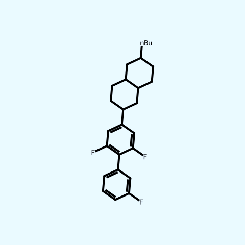 CCCCC1CCC2CC(c3cc(F)c(-c4cccc(F)c4)c(F)c3)CCC2C1